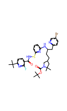 CC(C)(C)OC(=O)N1CC(CCC(Cc2ccc(Br)cn2)Nc2cccc(SNC(=O)c3ccc(C(C)(C)C)nc3F)n2)CC1(C)C